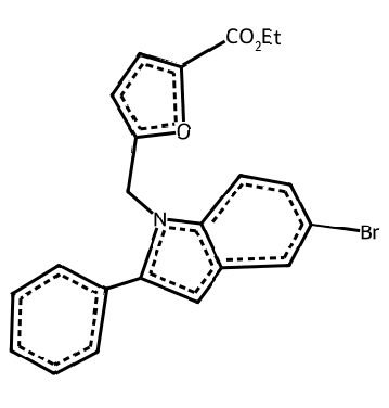 CCOC(=O)c1ccc(Cn2c(-c3ccccc3)cc3cc(Br)ccc32)o1